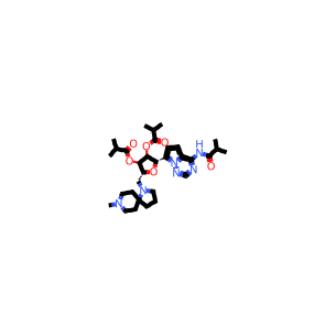 CC(C)C(=O)Nc1ncnn2c([C@@H]3O[C@H](CN4CCCC45CCN(C)CC5)[C@@H](OC(=O)C(C)C)[C@H]3OC(=O)C(C)C)ccc12